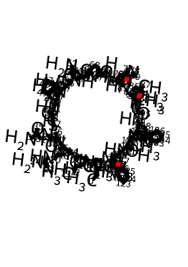 CCCC[C@H]1C(=O)N(C)[C@@H](CCCC)C(=O)N[C@@H](CCCNC(=N)N)C(=O)N[C@H](C(=O)NCC(N)=O)CSCC(=O)N[C@@H](Cc2ccccc2)C(=O)N(C)[C@@H](C)C(=O)N[C@@H](CC(N)=O)C(=O)N2CCC[C@H]2C(=O)N[C@@H](Cc2cnc[nH]2)C(=O)N[C@@H](CC(C)C)C(=O)N(C)CC(=O)N[C@@H](Cc2c[nH]c3ccccc23)C(=O)N[C@H](C)C(=O)N[C@@H](Cc2c[nH]c3ccccc23)C(=O)N1C